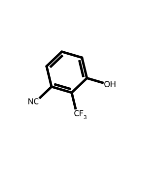 N#Cc1cccc(O)c1C(F)(F)F